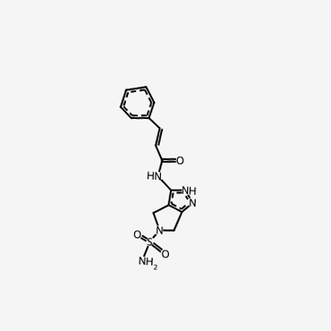 NS(=O)(=O)N1Cc2n[nH]c(NC(=O)/C=C/c3ccccc3)c2C1